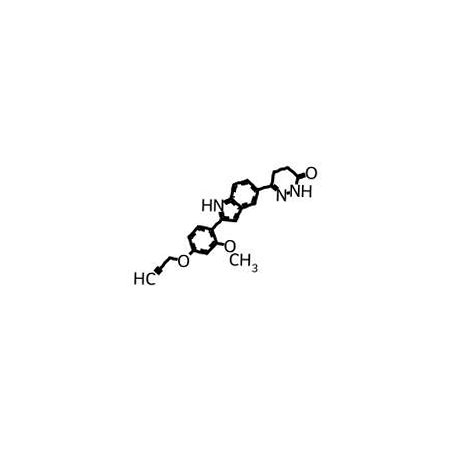 C#CCOc1ccc(-c2cc3cc(C4=NNC(=O)CC4)ccc3[nH]2)c(OC)c1